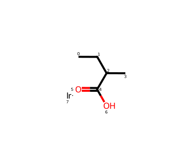 CCC(C)C(=O)O.[Ir]